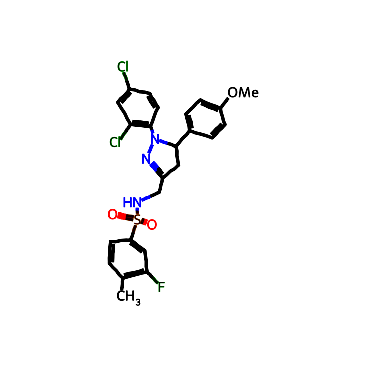 COc1ccc(C2CC(CNS(=O)(=O)c3ccc(C)c(F)c3)=NN2c2ccc(Cl)cc2Cl)cc1